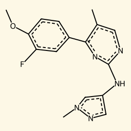 COc1ccc(-c2nc(Nc3cnn(C)c3)ncc2C)cc1F